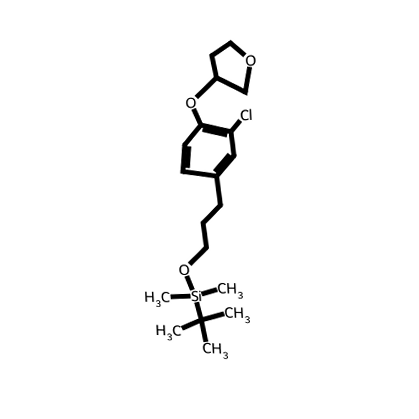 CC(C)(C)[Si](C)(C)OCCCc1ccc(OC2CCOC2)c(Cl)c1